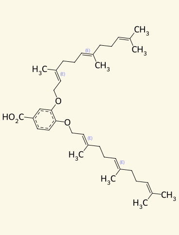 CC(C)=CCC/C(C)=C/CC/C(C)=C/COc1ccc(C(=O)O)cc1OC/C=C(\C)CC/C=C(\C)CCC=C(C)C